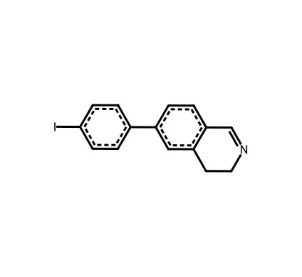 Ic1ccc(-c2ccc3c(c2)CCN=C3)cc1